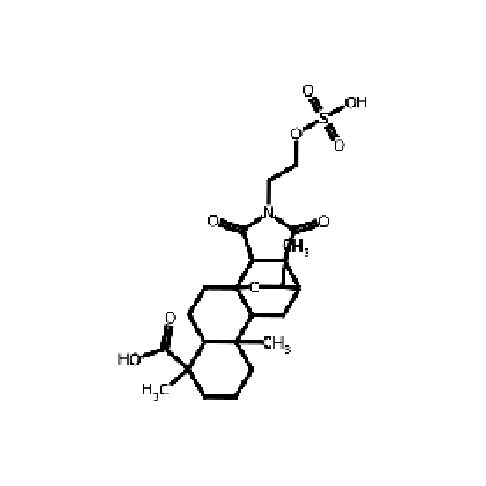 CC1CC23CCC4C(C)(C(=O)O)CCCC4(C)C2CC1C1C(=O)N(CCOS(=O)(=O)O)C(=O)C13